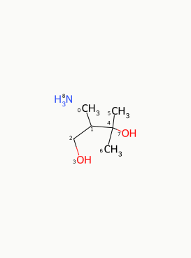 CC(CO)C(C)(C)O.N